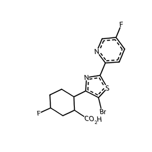 O=C(O)C1CC(F)CCC1c1nc(-c2ccc(F)cn2)sc1Br